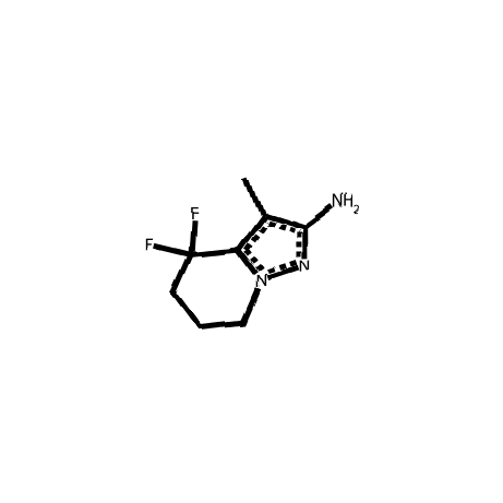 Cc1c(N)nn2c1C(F)(F)CCC2